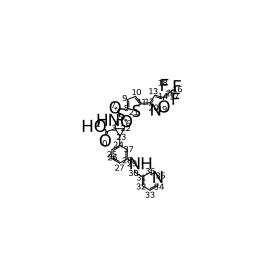 O=C(O)C1(NS(=O)(=O)c2ccc(-c3cc(C(F)(F)F)on3)s2)CC1c1cccc(NCc2cccnc2)c1